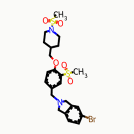 CS(=O)(=O)c1cc(CN2Cc3ccc(Br)cc3C2)ccc1OCC1CCN(S(C)(=O)=O)CC1